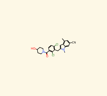 Cc1cc(C#N)cc2c1cc(Cc1c(Cl)ccc(C(=O)N3CCC(O)CC3)c1Cl)n2C